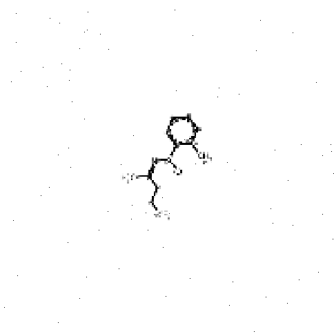 C/C(CCC(F)(F)F)=N/[S+]([O-])c1ccccc1C